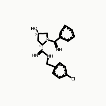 N=C(NCc1ccc(Cl)cc1)[C@@H]1C[C@@H](O)CN1C(=N)c1ccccc1